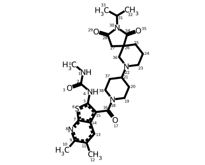 CNC(=O)Nc1sc2nc(C)c(C)cc2c1C(=O)N1CCC(N2CCCC3(CC(=O)N(C(C)C)C3=O)C2)CC1